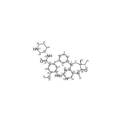 CC[C@@]1(C)CN(c2ccccc2)c2nc(Nc3ccc(C(=O)N[C@H]4CCCNC4)cc3OC)ncc2N(C)C1=O